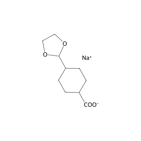 O=C([O-])C1CCC(C2OCCO2)CC1.[Na+]